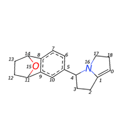 C1=C2CCC(c3ccc4c(c3)C3CCC4O3)N2CC1